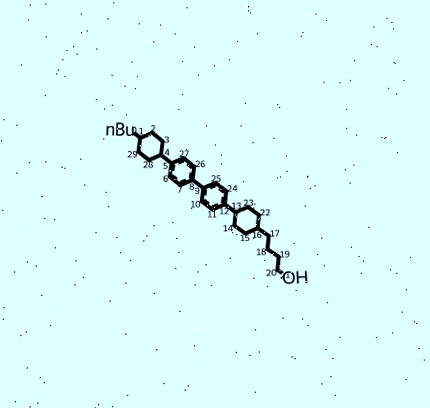 CCCCC1CCC(c2ccc(-c3ccc(C4CCC(CCCCO)CC4)cc3)cc2)CC1